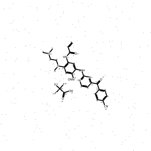 C=CC(=O)Nc1cc(Nc2nccc(C(=O)c3ccc(C#N)cc3)n2)c(OC)cc1N(C)CCN(C)C.O=C(O)C(F)(F)F